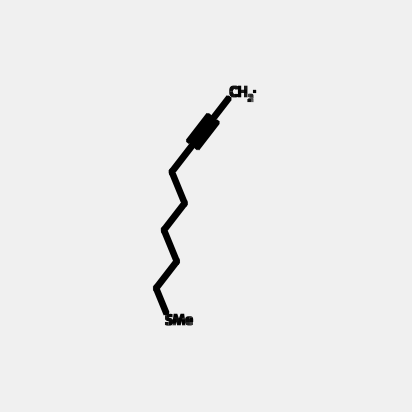 [CH2]C#CCCCCCSC